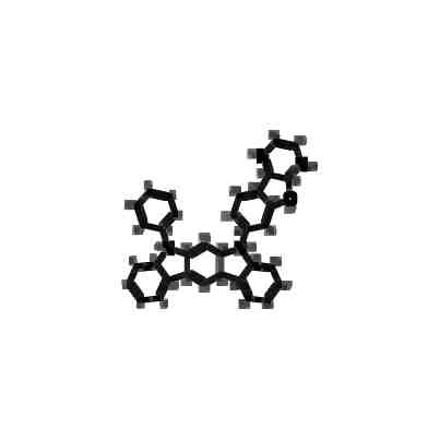 c1ccc(-n2c3ccccc3c3cc4c5ccccc5n(-c5ccc6c(c5)oc5nccnc56)c4cc32)cc1